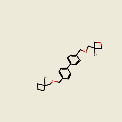 CCC1(COCc2ccc(-c3ccc(COCC4(CC)COC4)cc3)cc2)CCC1